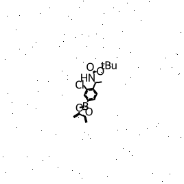 C=C1OB(c2ccc(C(C)NC(=O)OC(C)(C)C)c(Cl)c2)OC1=C